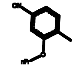 CCCOc1cc(N=O)ccc1C